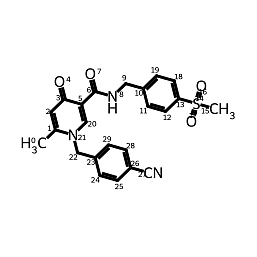 Cc1cc(=O)c(C(=O)NCc2ccc(S(C)(=O)=O)cc2)cn1Cc1ccc(C#N)cc1